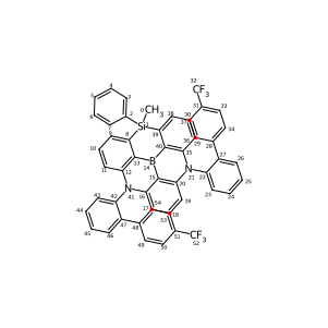 C[Si]1(c2ccccc2)c2cccc3c2B2c4c(cccc4N(c4ccccc4-c4ccc(C(F)(F)F)cc4)c4cccc1c42)N3c1ccccc1-c1ccc(C(F)(F)F)cc1